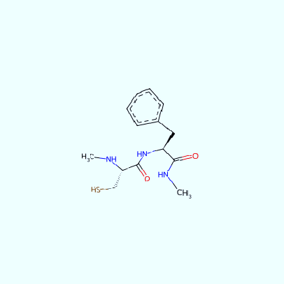 CNC(=O)[C@H](Cc1ccccc1)NC(=O)[C@H](CS)NC